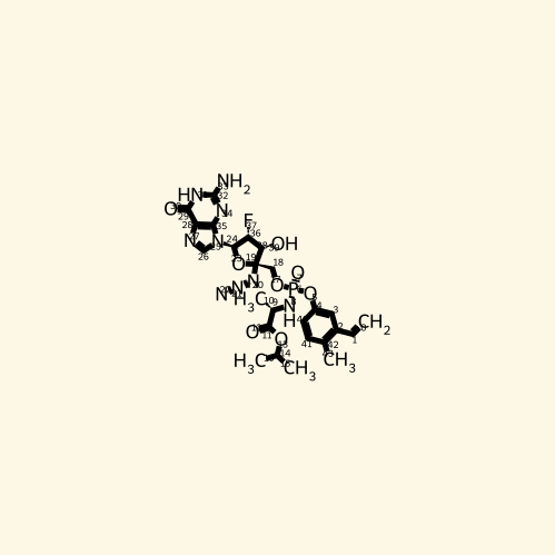 C=Cc1cc(OP(=O)(N[C@@H](C)C(=O)OC(C)C)OC[C@@]2(N=[N+]=[N-])O[C@@H](n3cnc4c(=O)[nH]c(N)nc43)[C@H](F)[C@@H]2O)ccc1C